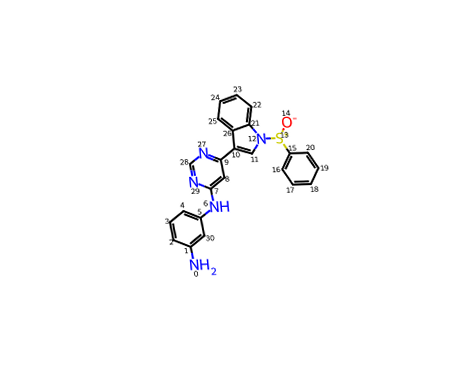 Nc1cccc(Nc2cc(-c3cn([S+]([O-])c4ccccc4)c4ccccc34)ncn2)c1